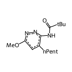 CCCCCc1cc(OC)nnc1NC(=O)C(C)(C)C